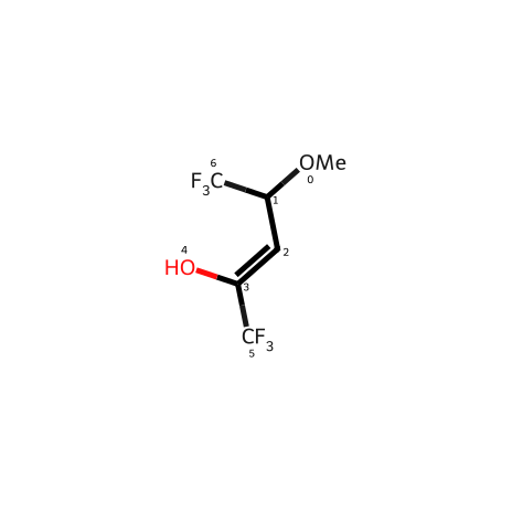 COC(/C=C(\O)C(F)(F)F)C(F)(F)F